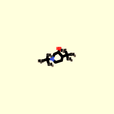 CC(C)(C)C1CCN(C(C)(C)C)CC1O